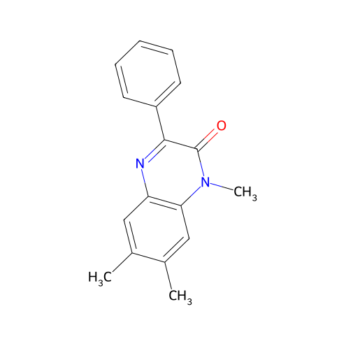 Cc1cc2nc(-c3ccccc3)c(=O)n(C)c2cc1C